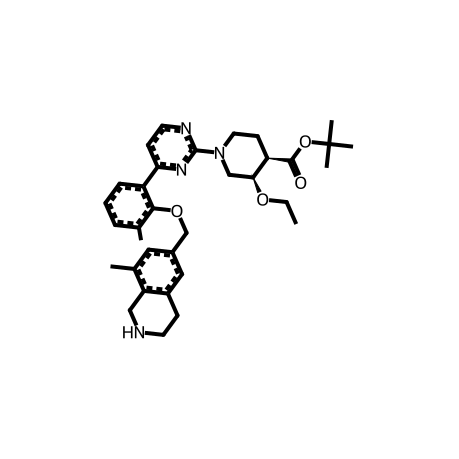 CCO[C@H]1CN(c2nccc(-c3cccc(C)c3OCc3cc(C)c4c(c3)CCNC4)n2)CC[C@H]1C(=O)OC(C)(C)C